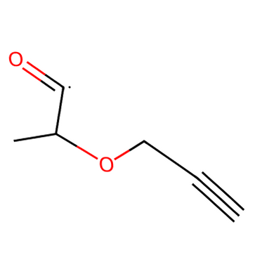 C#CCOC(C)[C]=O